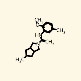 C=C(Nc1cc(C)ccc1OC)N1CC2CC(C)CC2C1